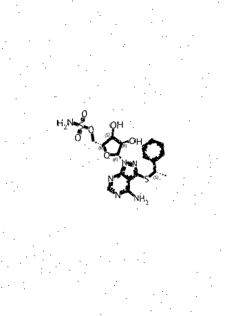 C[C@H](Sc1nn([C@@H]2O[C@H](COS(N)(=O)=O)[C@@H](O)[C@H]2O)c2ncnc(N)c12)c1ccccc1